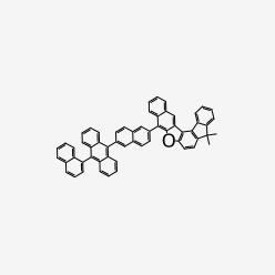 CC1(C)c2ccccc2-c2c1ccc1oc3c(-c4ccc5cc(-c6c7ccccc7c(-c7cccc8ccccc78)c7ccccc67)ccc5c4)c4ccccc4cc3c21